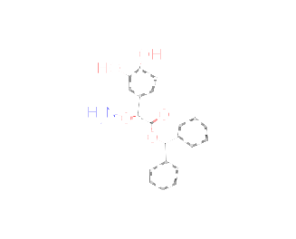 NO[C@H](C(=O)OC(c1ccccc1)c1ccccc1)c1ccc(O)c(O)c1